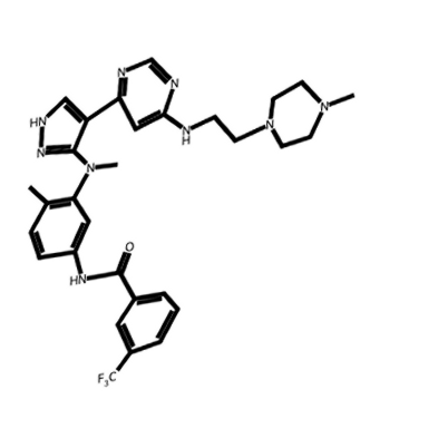 Cc1ccc(NC(=O)c2cccc(C(F)(F)F)c2)cc1N(C)c1n[nH]cc1-c1cc(NCCN2CCN(C)CC2)ncn1